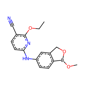 CCOc1nc(Nc2ccc3c(c2)COB3OC)ccc1C#N